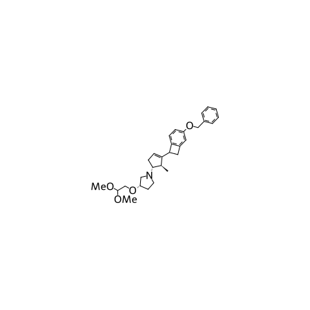 COC(CO[C@H]1CCN([C@@H]2CC=C(C3Cc4cc(OCc5ccccc5)ccc43)[C@H]2C)C1)OC